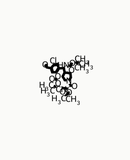 CC(C)(C)OC(=O)N[C@@H](c1cc(Cl)c(C=O)cc1OC(=O)OC(C)(C)C)C1CCN(C(=O)[C@H]2COC(C)(C)O2)CC1